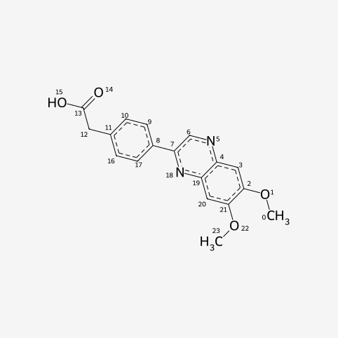 COc1cc2ncc(-c3ccc(CC(=O)O)cc3)nc2cc1OC